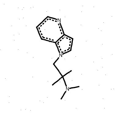 CN(C)C(C)(C)Cn1ccc2ncccc21